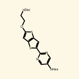 CCCCCCCCCCCCOc1cc2sc(-c3ncc(CCCCCC)cn3)cc2s1